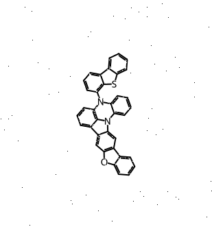 c1ccc2c(c1)N(c1cccc3c1sc1ccccc13)c1cccc3c4cc5oc6ccccc6c5cc4n-2c13